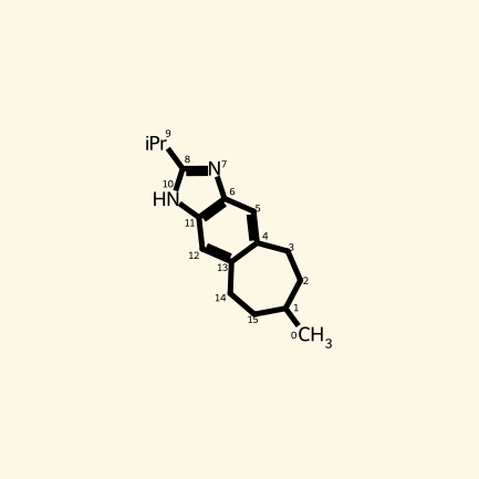 CC1CCc2cc3nc(C(C)C)[nH]c3cc2CC1